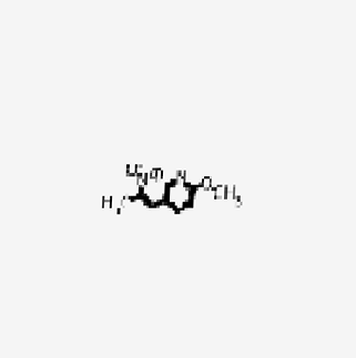 COc1ccc(/C=C(/C)[N+](=O)[O-])cn1